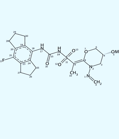 C=NN1C[C@@H](OC)CO/C1=C(/C)S(=O)(=O)NC(=O)Nc1c2c(c(F)c3c1CCC3)CCC2